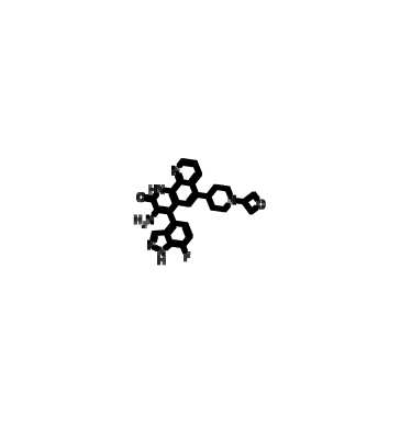 Nc1c(-c2ccc(F)c3[nH]ncc23)c2cc(C3CCN(C4COC4)CC3)c3cccnc3c2[nH]c1=O